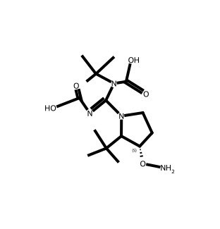 CC(C)(C)C1[C@@H](ON)CCN1C(=NC(=O)O)N(C(=O)O)C(C)(C)C